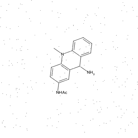 CC(=O)Nc1ccc2c(c1)C(N)c1ccccc1N2C